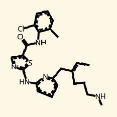 C/C=C(\CCCNC)Cc1cccc(Nc2ncc(C(=O)Nc3c(C)cccc3Cl)s2)n1